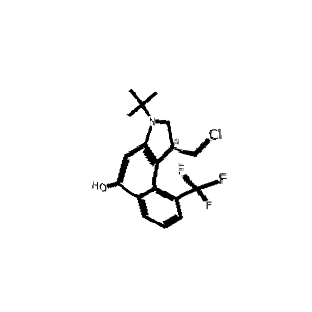 CC(C)(C)N1C[C@@H](CCl)c2c1cc(O)c1cccc(C(F)(F)F)c21